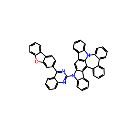 c1ccc2c(c1)-c1ccccc1-n1c3ccccc3c3cc4c(c-2c31)c1ccccc1n4-c1nc(-c2ccc3c(c2)oc2ccccc23)c2ccccc2n1